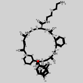 NCCOCCNC(=O)[C@@H]1CCNC(=O)/C=C/C(=O)N2CCC[C@](Cc3ccc(F)cc3Cl)(C2)C(=O)N[C@@H](Cc2ccco2)C(=O)NCc2ccccc2CC(=O)N1